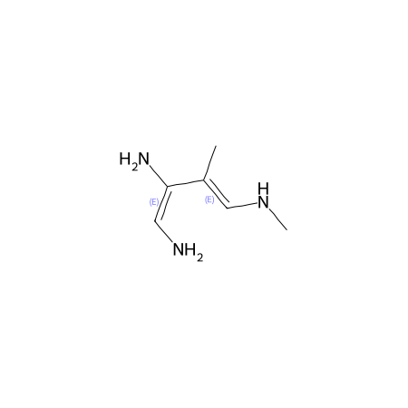 CN/C=C(C)/C(N)=C\N